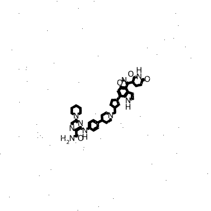 NC(=O)c1ncc(N2CCCCC2)nc1Nc1ccc(C2CCN(CC3CCC(c4cc5onc(C6CCC(=O)NC6=O)c5c5cc[nH]c45)C3)CC2)cc1